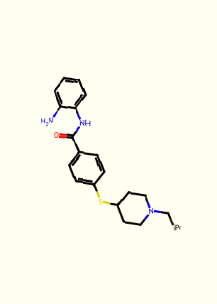 CC(C)CN1CCC(Sc2ccc(C(=O)Nc3ccccc3N)cc2)CC1